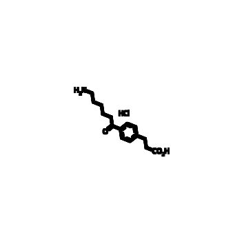 Cl.NCCCCCC(=O)c1ccc(CCC(=O)O)cc1